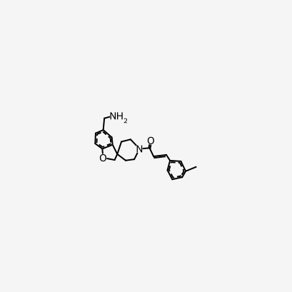 Cc1cccc(C=CC(=O)N2CCC3(CC2)COc2ccc(CN)cc23)c1